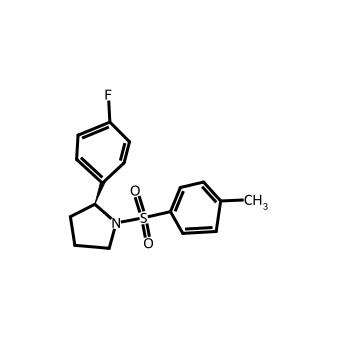 Cc1ccc(S(=O)(=O)N2CCC[C@H]2c2ccc(F)cc2)cc1